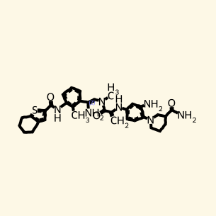 C=C(Nc1ccc(N2CCCC(C(N)=O)C2)c(N)c1)C(=O)N(C)/C=C(\N)c1cccc(NC(=O)c2cc3c(s2)CCCC3)c1C